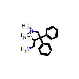 CC(CN)C(CN(C)C)(c1ccccc1)c1ccccc1